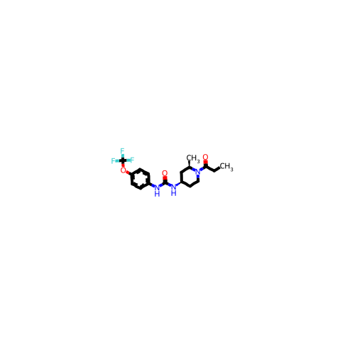 CCC(=O)N1CC[C@@H](NC(=O)Nc2ccc(OC(F)(F)F)cc2)C[C@H]1C